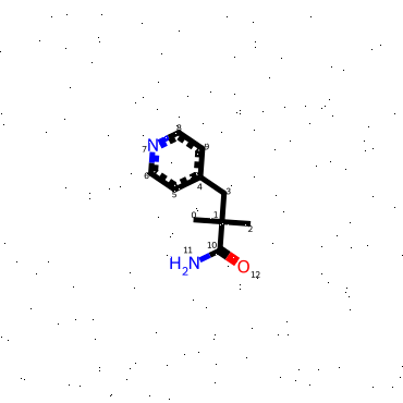 CC(C)(Cc1ccncc1)C(N)=O